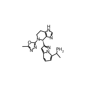 Cc1nnc(N2CCc3[nH]cnc3[C@H]2c2cc3cccc(C(C)P)n3n2)o1